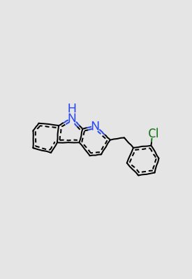 Clc1ccccc1Cc1ccc2c(n1)[nH]c1ccccc12